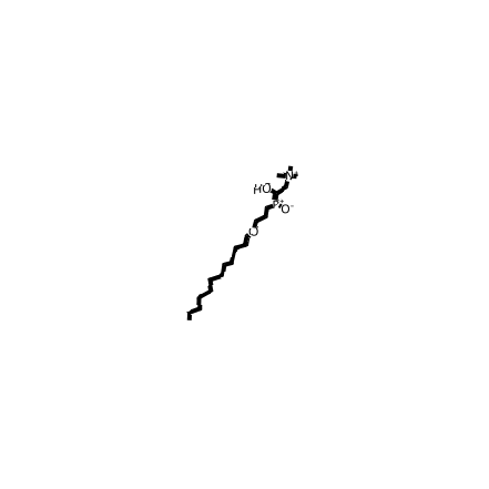 CCCCCCCCCCCCOCCC/[P+]([O-])=C(\O)C[N+](C)(C)C